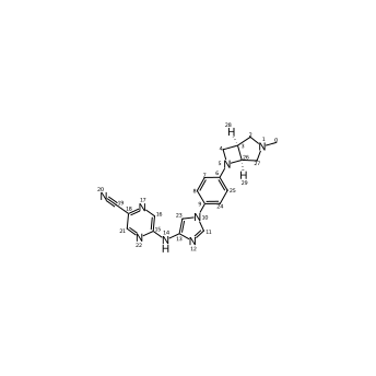 CN1C[C@@H]2CN(c3ccc(-n4cnc(Nc5cnc(C#N)cn5)c4)cc3)[C@@H]2C1